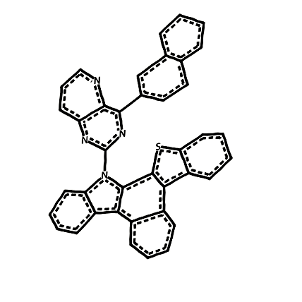 c1ccc2cc(-c3nc(-n4c5ccccc5c5c6ccccc6c6c7ccccc7sc6c54)nc4cccnc34)ccc2c1